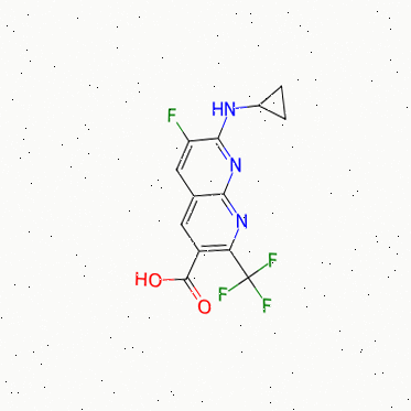 O=C(O)c1cc2cc(F)c(NC3CC3)nc2nc1C(F)(F)F